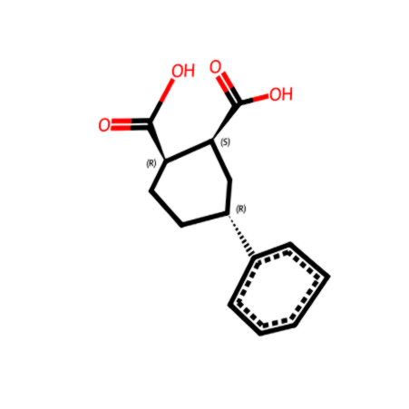 O=C(O)[C@H]1C[C@H](c2ccccc2)CC[C@H]1C(=O)O